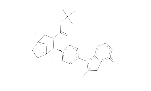 CC(C)(C)OC(=O)N1C[C@@H]2CC[C@@H](O2)[C@@H]1c1ccc(-n2c(Cl)cc3c(=O)[nH]cnc32)cc1